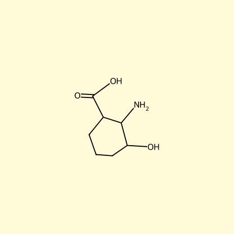 NC1C(O)CCCC1C(=O)O